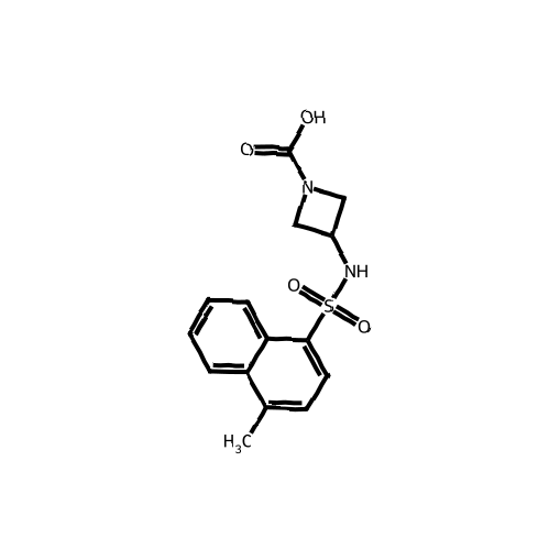 Cc1ccc(S(=O)(=O)NC2CN(C(=O)O)C2)c2ccccc12